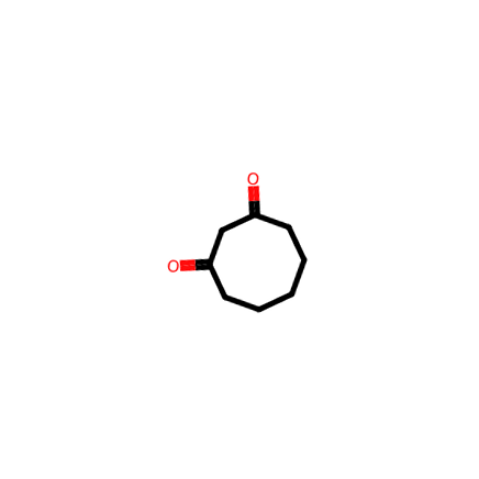 O=C1CCCCCC(=O)C1